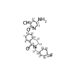 Nc1cnc(Oc2ccc3c(c2)CCN(Cc2ccc(F)cc2)C3=O)c(Cl)c1